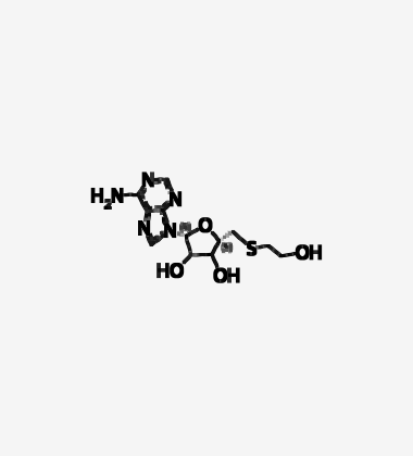 Nc1ncnc2c1ncn2[C@@H]1O[C@H](CSCCO)C(O)C1O